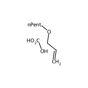 C=CCOCCCCC.O=C(O)O